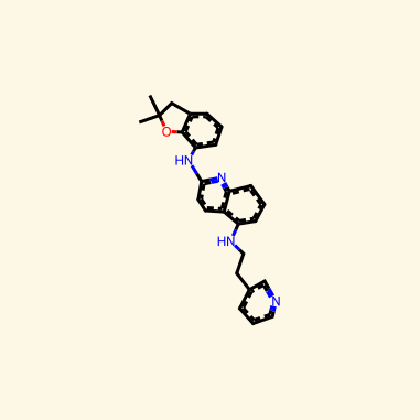 CC1(C)Cc2cccc(Nc3ccc4c(NCCc5cccnc5)cccc4n3)c2O1